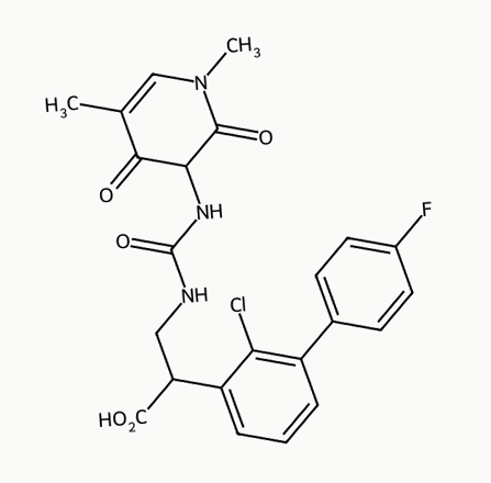 CC1=CN(C)C(=O)C(NC(=O)NCC(C(=O)O)c2cccc(-c3ccc(F)cc3)c2Cl)C1=O